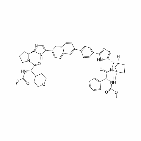 COC(=O)N[C@H](C(=O)N1CCC[C@H]1c1ncc(-c2ccc3cc(-c4ccc(-c5cnc([C@@H]6[C@H]7CC[C@H](C7)N6C(=O)[C@H](NC(=O)OC)c6ccccc6)[nH]5)cc4)ccc3c2)[nH]1)C1CCOCC1